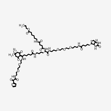 C=CCOC(=O)CCCCCNC(=O)CCC(=O)N[C@@H](CCCCNC(=O)CCCCC(NCCOCCOCCNC(=O)C(=O)c1cccs1)=C1C(=O)CC(C)(C)CC1=O)C(=O)NCCCOCCOCCOCCCNC(=O)CCCC[C@@H]1SC[C@@H]2NC(=O)NC21